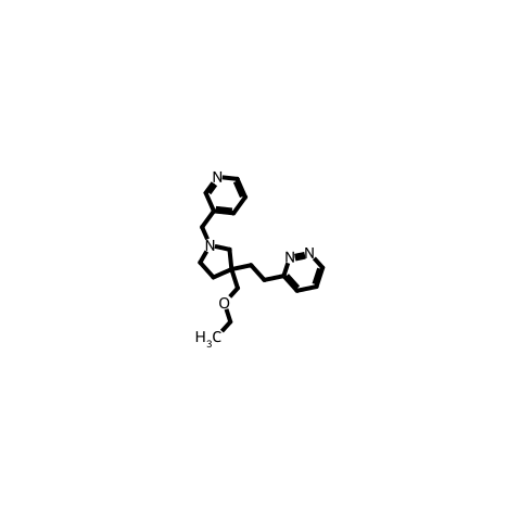 CCOCC1(CCc2cccnn2)CCN(Cc2cccnc2)C1